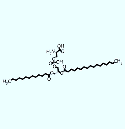 CCCCCCCCCCCCCCCCC(=O)O[C@H](COC(=O)CCCCCCCCCCCC)COP(=O)(O)OC[C@H](N)C(=O)O